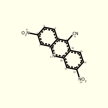 N#Cc1c2ccc([N+](=O)[O-])cc2nc2cc([N+](=O)[O-])ccc12